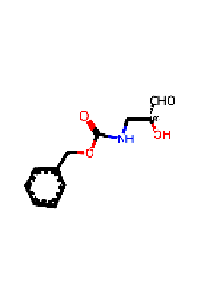 O=C[C@H](O)CNC(=O)OCc1ccccc1